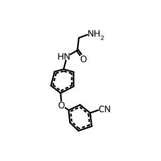 N#Cc1cccc(Oc2ccc(NC(=O)CN)cc2)c1